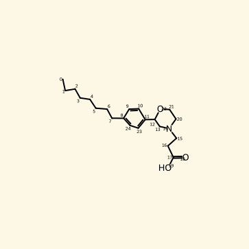 CCCCCCCCc1ccc(C2CN(CCC(=O)O)CCO2)cc1